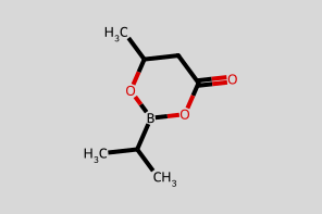 CC1CC(=O)OB(C(C)C)O1